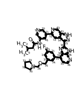 CC(C)CC(=O)Nc1cncc(-c2cc3c(-c4nc5c(-c6cc(F)cc(COCN7CCCC7)c6)ccnc5[nH]4)n[nH]c3cn2)c1